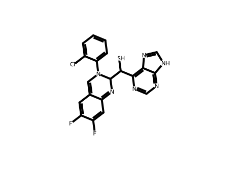 Fc1cc2c(cc1F)=NC(C(S)c1ncnc3[nH]cnc13)N(c1ccccc1Cl)C=2